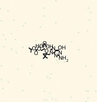 CC(C)OC(=O)OCC(OC1(Cn2cnc3c(O)nc(N)nc32)CC1(C)C)P(=O)(O)O